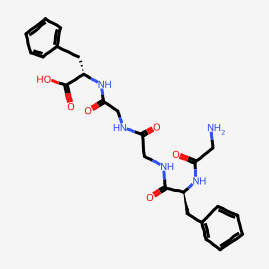 NCC(=O)N[C@@H](Cc1ccccc1)C(=O)NCC(=O)NCC(=O)N[C@@H](Cc1ccccc1)C(=O)O